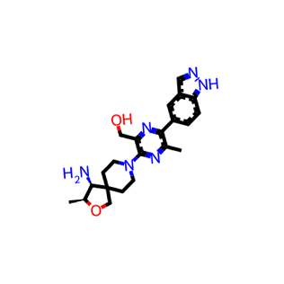 Cc1nc(N2CCC3(CC2)CO[C@@H](C)[C@H]3N)c(CO)nc1-c1ccc2[nH]ncc2c1